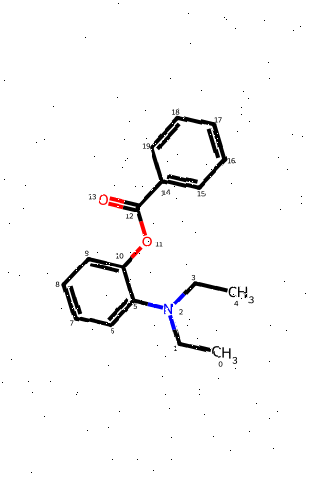 CCN(CC)c1ccccc1OC(=O)c1ccccc1